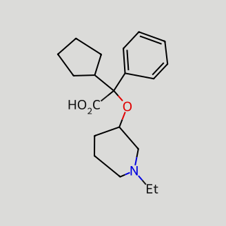 CCN1CCCC(OC(C(=O)O)(c2ccccc2)C2CCCC2)C1